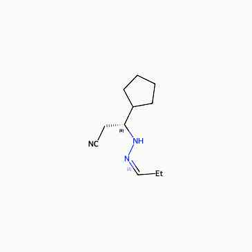 CC/C=N\N[C@H](CC#N)C1CCCC1